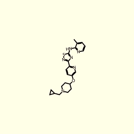 Cc1cccnc1Nc1nc(-c2ccc(OC3CCN(CC4CC4)CC3)cn2)ns1